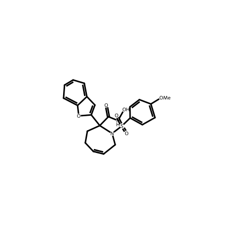 COc1ccc(S(=O)(=O)N2CC=CCCC2(C(=O)NO)c2cc3ccccc3o2)cc1